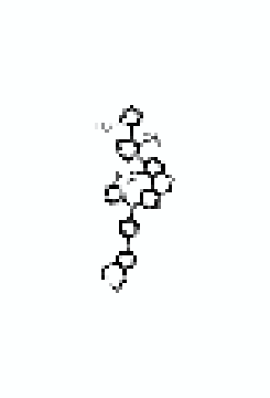 Cc1ccccc1-c1cccc(-c2ccc3c(c2C)-c2cc(N(c4ccccc4)c4ccc(-c5ccc6c(c5)CCCC=C6)cc4)ccc2CC3)c1C